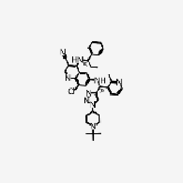 CC[C@@H](Nc1c(C#N)cnc2c(Cl)cc(N[C@H](c3cn(C4CCN(C(C)(C)C)CC4)nn3)c3cccnc3C)cc12)c1ccccc1